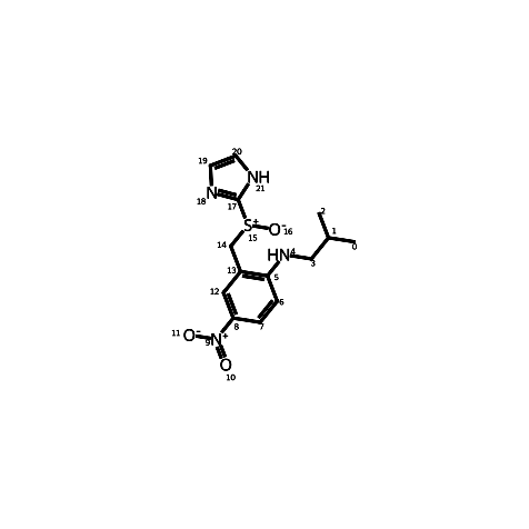 CC(C)CNc1ccc([N+](=O)[O-])cc1C[S+]([O-])c1ncc[nH]1